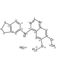 COc1cc2ncnc(Nc3ccc4c(c3)CCC4)c2cc1OC.Cl